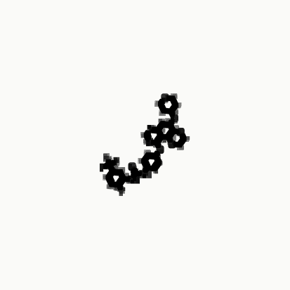 O=C(Nc1ccc(Oc2ncnc3cc(OC4CCOCC4)c4c(c23)OCCO4)cc1)Nc1cc(C(F)(F)F)ccc1F